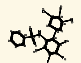 O=S(=O)(Nc1c(F)c(F)c(F)c(F)c1-c1cc(Cl)c(F)c(Cl)c1)c1ccccc1